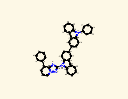 c1ccc(-c2cccn3nc(-n4c5ccccc5c5cc(-c6ccc7c(c6)c6ccccc6n7-c6ccccc6)ccc54)nc23)cc1